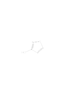 Oc1c[c]sn1